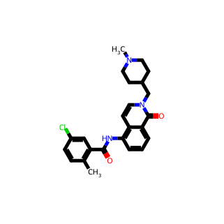 Cc1ccc(Cl)cc1C(=O)Nc1cccc2c(=O)n(CC3CCN(C)CC3)ccc12